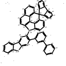 c1ccc(-c2cccc(-c3nc4sc5ccccc5c4nc3-n3c4cccc5c4c4c6c(cccc6ccc43)C53c4ccccc4-c4ccccc43)c2)cc1